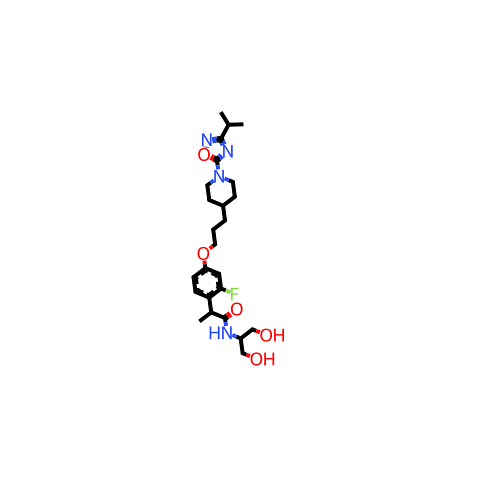 CC(C)c1noc(N2CCC(CCCOc3ccc(C(C)C(=O)NC(CO)CO)c(F)c3)CC2)n1